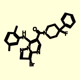 Cc1ccc(C)c(Nc2c(C(=O)N3CCC(F)(c4ccccc4)CC3)cnc3c(Br)cnn23)c1